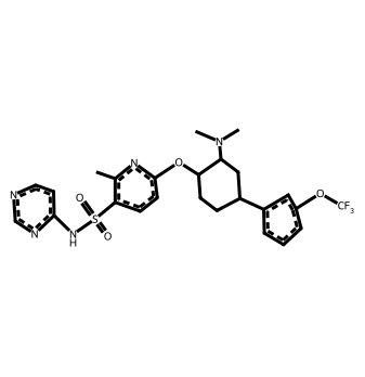 Cc1nc(OC2CCC(c3cccc(OC(F)(F)F)c3)CC2N(C)C)ccc1S(=O)(=O)Nc1ccncn1